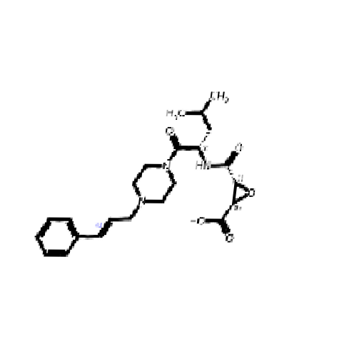 CC(C)C[C@H](NC(=O)[C@@H]1O[C@H]1C(=O)O)C(=O)N1CCN(C/C=C/c2ccccc2)CC1